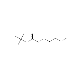 COCCSNC(=O)OC(C)(C)C